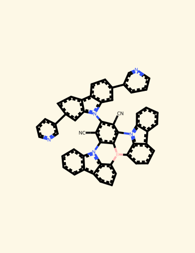 N#Cc1c(-n2c3cc(-c4cccnc4)ccc3c3ccc(-c4cccnc4)cc32)c(C#N)c2c3c1-n1c4ccccc4c4cccc(c41)B3c1cccc3c4ccccc4n-2c13